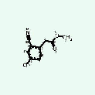 COC(=O)Cc1ccc(Cl)cc1C#N